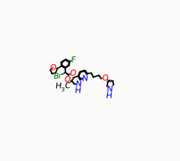 CC1(OC(=O)C(Br)c2cc(F)ccc2C2CCCO2)CNc2nc(CCCCO[C@@H]3CCNC3)ccc2C1